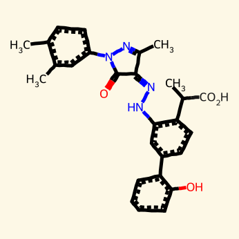 CC1=NN(c2ccc(C)c(C)c2)C(=O)C1=NNc1cc(-c2ccccc2O)ccc1C(C)C(=O)O